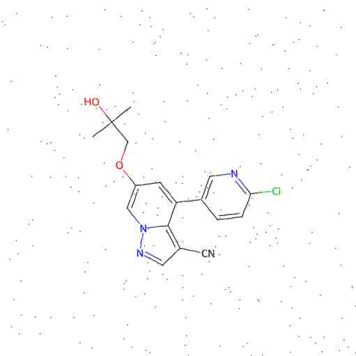 CC(C)(O)COc1cc(-c2ccc(Cl)nc2)c2c(C#N)cnn2c1